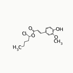 CCCCC(Cl)OC(=O)C=Cc1ccc(O)c(OC)c1